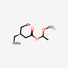 CNC[C@H](CC(=O)OC(C)O[N+](=O)[O-])CC(C)C